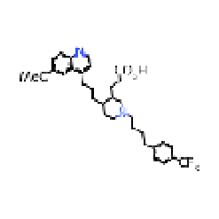 COc1ccc2nccc(CCCC3CCN(CCCCc4ccc(C(F)(F)F)cc4)CC3CCC(=O)O)c2c1